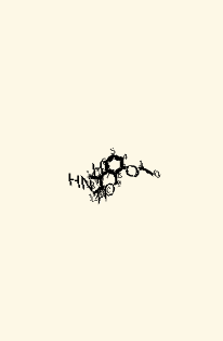 CCOc1cccc2c1CO[C@H]1CNC[C@@H]21